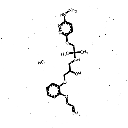 C=CCOc1ccccc1OCC(O)CNC(C)(C)COc1ccc(NN)nn1.Cl